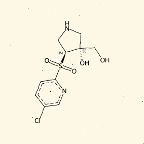 O=S(=O)(c1ccc(Cl)cn1)[C@H]1CNC[C@@]1(O)CO